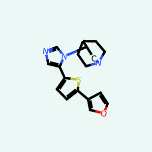 c1cc(-c2ccc(-c3cncn3C3CN4CCC3CC4)s2)co1